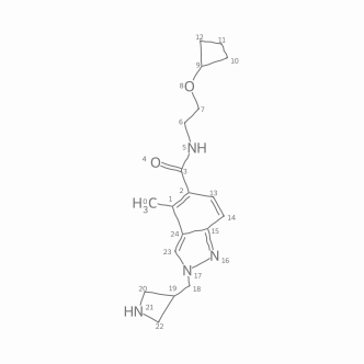 Cc1c(C(=O)NCCOC2CCC2)ccc2nn(CC3CNC3)cc12